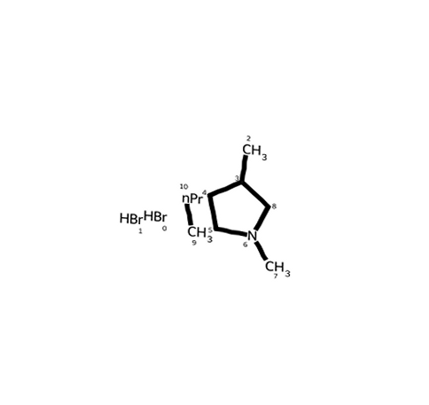 Br.Br.CC1CCN(C)C1.CCCC